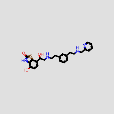 O=c1[nH]c2c(O)ccc(C(O)CNCCc3cccc(CCNCc4ccccn4)c3)c2s1